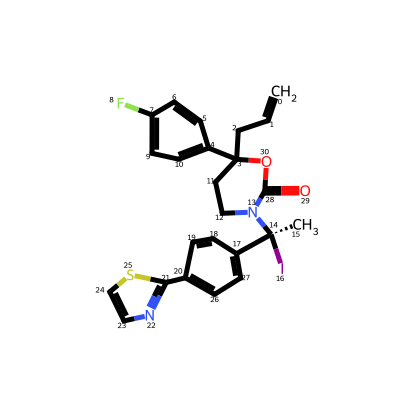 C=CCC1(c2ccc(F)cc2)CCN([C@@](C)(I)c2ccc(-c3nccs3)cc2)C(=O)O1